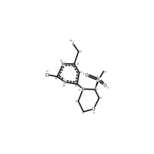 CS(=O)(=O)[C@H]1COCCN1c1cc(CI)nc(Cl)n1